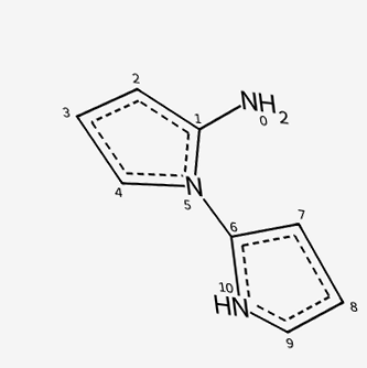 Nc1cccn1-c1ccc[nH]1